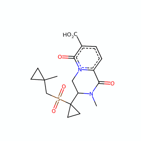 CN1C(=O)c2ccc(C(=O)O)c(=O)n2CC1C1(S(=O)(=O)CC2(C)CC2)CC1